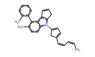 C/C=C\C=C/C1=CC=C(n2c3c(c4c(-c5ccccc5C)c(C)ccc42)C=CC3)C1